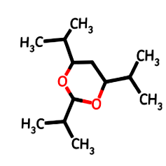 CC(C)C1CC(C(C)C)OC(C(C)C)O1